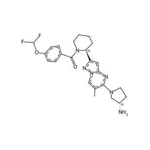 Cc1cn2nc([C@@H]3CCCCN3C(=O)c3ccc(OC(F)F)cc3)cc2nc1N1CC[C@H](N)C1